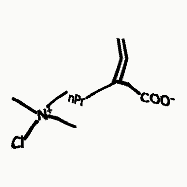 C=C(CCC)C(=O)[O-].C[N+](C)(C)Cl